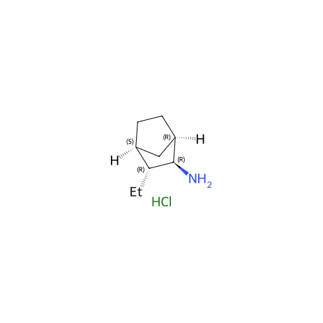 CC[C@@H]1[C@H]2CC[C@H](C2)[C@H]1N.Cl